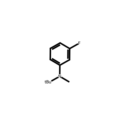 CN(c1cccc(F)c1)C(C)(C)C